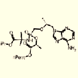 CCCCCOC(=O)[C@H](C)O[P@](=O)(CO[C@H](C)Cn1cnc2c(N)ncnc21)NC(C)(C)C(=O)OC(C)C